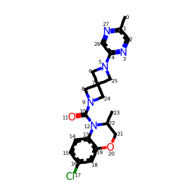 Cc1cnc(N2CC3(CN(C(=O)N4c5ccc(Cl)cc5OCC4C)C3)C2)cn1